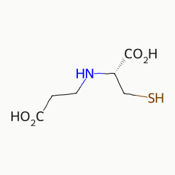 O=C(O)CCN[C@@H](CS)C(=O)O